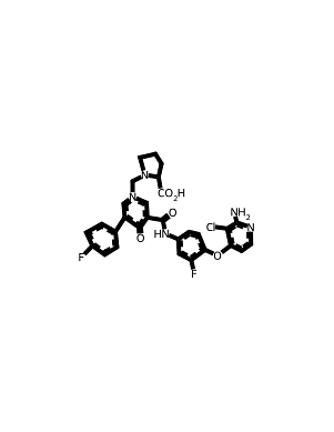 Nc1nccc(Oc2ccc(NC(=O)c3cn(CN4CCCC4C(=O)O)cc(-c4ccc(F)cc4)c3=O)cc2F)c1Cl